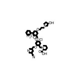 CC1(C)C(c2ccccc2)=CC(OCCCN2CC[C@@H](O)C2)=CC1COc1cc(OCc2cncc(C#N)c2)c(CN2CCCC[C@H]2C(=O)O)cc1Cl